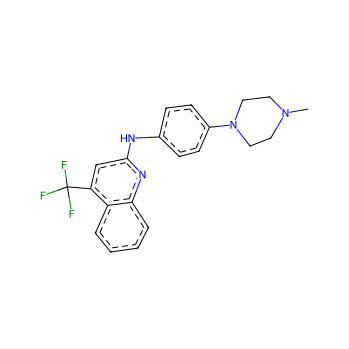 CN1CCN(c2ccc(Nc3cc(C(F)(F)F)c4ccccc4n3)cc2)CC1